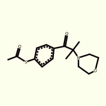 CC(=O)Sc1ccc(C(=O)C(C)(C)N2CCOCC2)cc1